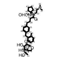 Cc1ccc([C@]23OC[C@](C(C)(C)O)(O2)[C@@H](O)[C@H](O)[C@H]3O)cc1Cc1ccc(CCCC(=O)N(CCN(C)C)C2(NC=O)CCCC2)cc1